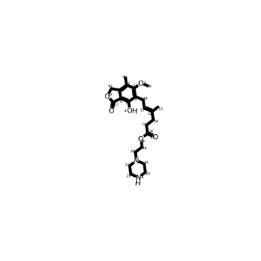 COc1c(C)c2c(c(O)c1C/C=C(\C)CCC(=O)OCCN1CCNCC1)C(=O)OC2